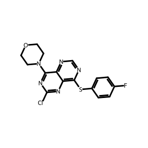 Fc1ccc(Sc2ncnc3c(N4CCOCC4)nc(Cl)nc23)cc1